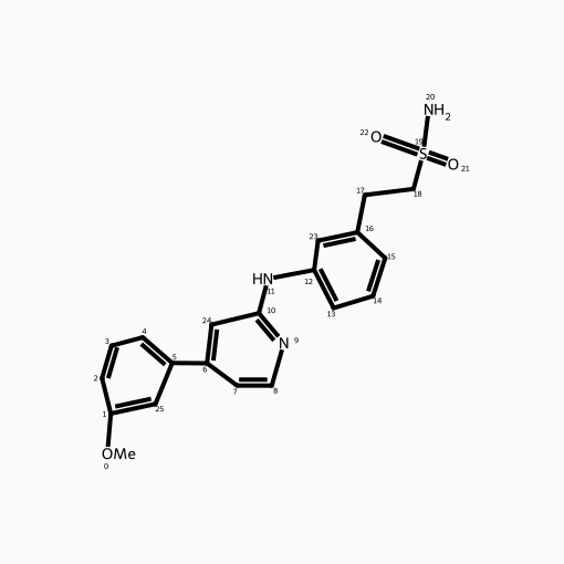 COc1cccc(-c2ccnc(Nc3cccc(CCS(N)(=O)=O)c3)c2)c1